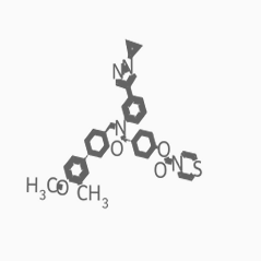 COc1ccc([C@H]2CC[C@H](CN(c3cccc(-c4cnn(C5CC5)c4)c3)C(=O)[C@H]3CC[C@H](OC(=O)N4CCSCC4)CC3)CC2)cc1C